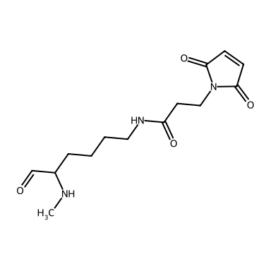 CNC(C=O)CCCCNC(=O)CCN1C(=O)C=CC1=O